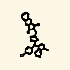 Cc1ccc(N(c2ccc(Cl)cc2)c2ccc(CC3C(=O)c4cc5ccccc5cc4C3=O)s2)c2ccccc12